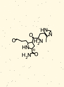 NC(=O)[C@@H]1CC(C(=O)[C@@H](N)Cc2[nH]cnc2I)C(CCC=O)N1